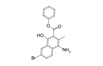 Cc1c(C(=O)Oc2ccccc2)c(O)c2cc(Br)ccc2c1N